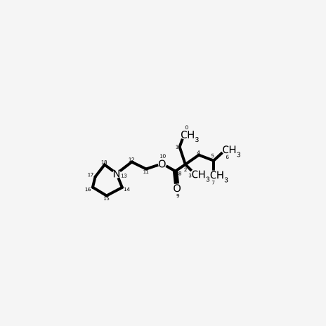 CCC(C)(CC(C)C)C(=O)OCCN1CCCCC1